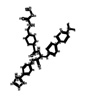 CN(C)c1ccc(-c2ccc(C[C@H](NC(=O)C3CCC(CNC(=O)OC(C)(C)C)CC3)C(=O)Nc3ccc(-c4nnn[nH]4)cc3)cc2)cn1